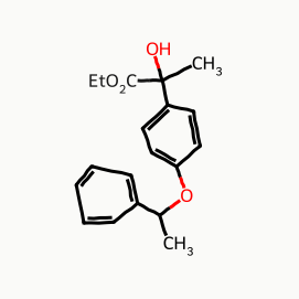 CCOC(=O)C(C)(O)c1ccc(OC(C)c2ccccc2)cc1